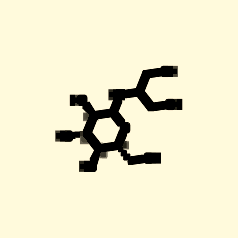 OCC(CO)NC1O[C@H](CO)[C@@H](O)[C@H](O)[C@H]1O